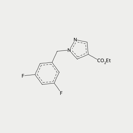 CCOC(=O)c1cnn(Cc2cc(F)cc(F)c2)c1